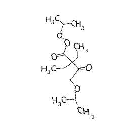 CCC(CC)(C(=O)COC(C)C)C(=O)OOC(C)C